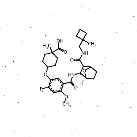 COc1cc(F)c(OC2CCC(C)(C(=O)O)CC2)cc1C(=O)N[C@H]1C(C(=O)NCC2(C)CCC2)C2CC[C@@H]1O2